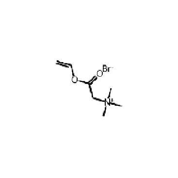 C=COC(=O)C[N+](C)(C)C.[Br-]